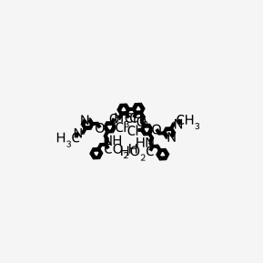 C/N=C/c1cncc(COc2cc(OCc3cccc(-c4cccc(COc5cc(OCc6cncc(/C=N/C)c6)c(CNC(Cc6ccccc6)C(=O)O)cc5Cl)c4C)c3C)c(Cl)cc2CNC(Cc2ccccc2)C(=O)O)c1